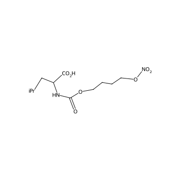 CC(C)CC(NC(=O)OCCCCO[N+](=O)[O-])C(=O)O